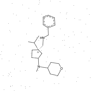 CC(C)[C@]1(CNCc2ccccc2)CCC(N(C)C2CCOCC2)C1